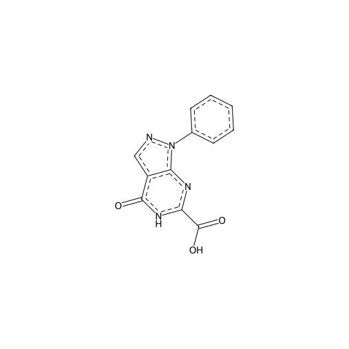 O=C(O)c1nc2c(cnn2-c2ccccc2)c(=O)[nH]1